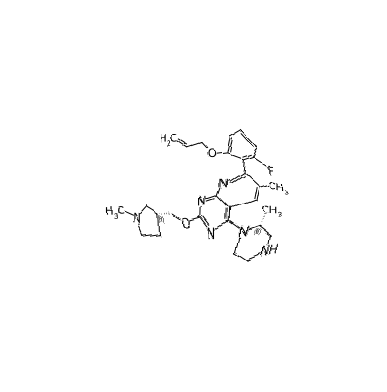 C=CCOc1cccc(F)c1-c1nc2nc(OC[C@@H]3CCN(C)C3)nc(N3CCNC[C@H]3C)c2cc1C